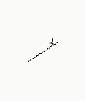 CCCCCCCCCCCCCCCCCCON(CCC)NCCC